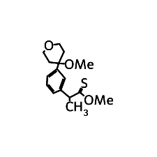 COC(=S)C(C)c1cccc(C2(OC)CCOCC2)c1